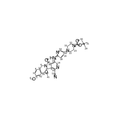 COc1ccc(CN2Cc3c(C#N)ncc(Nc4ccc(N5CCN(C(=O)OC(C)(C)C)CC5)cn4)c3C2=O)c(OC)c1